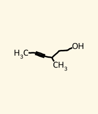 CC#CC(C)CCO